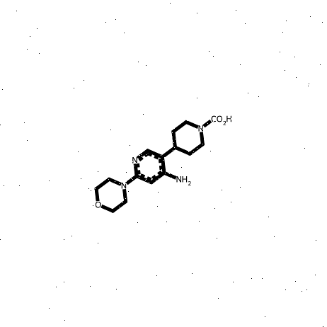 Nc1cc(N2CCOCC2)ncc1C1CCN(C(=O)O)CC1